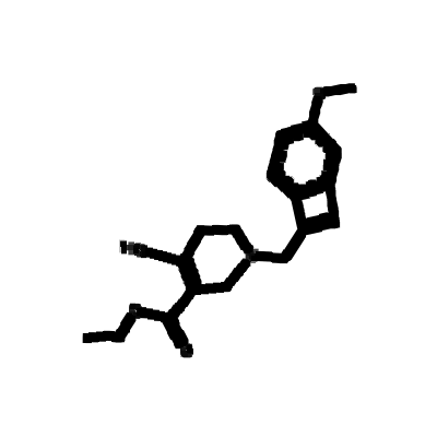 CCOC(=O)C1=C(O)CCN(CC2=Cc3cc(OC)ccc32)C1